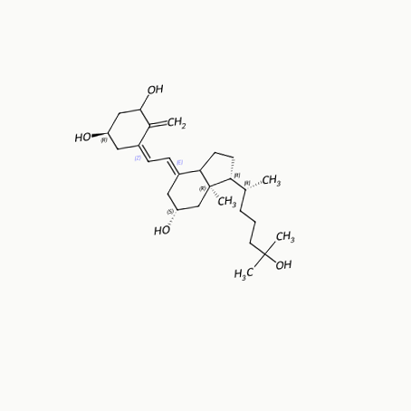 C=C1/C(=C\C=C2/C[C@@H](O)C[C@@]3(C)C2CC[C@@H]3[C@H](C)CCCC(C)(C)O)C[C@@H](O)CC1O